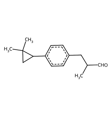 CC(C=O)Cc1ccc(C2CC2(C)C)cc1